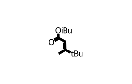 C/C(=C\C(=O)OCC(C)C)C(C)(C)C